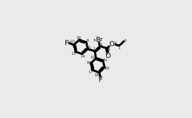 CCOC(=O)C(Br)=C(c1ccc(F)cc1)c1ccc(F)cc1